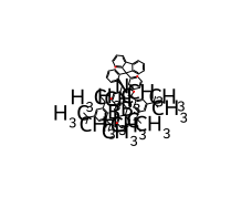 CC(C)c1cc(C(C)C)c(B2c3ccccc3B(c3c(C(C)C)cc(C(C)C)cc3C(C)C)c3cc(N4c5ccccc5C5(c6ccccc6-c6ccccc65)c5ccccc54)ccc32)c(C(C)C)c1